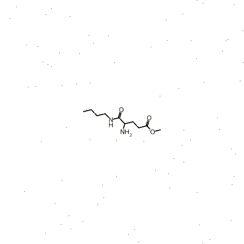 CCCCNC(=O)C(N)CCC(=O)OC